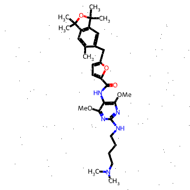 COc1nc(NCCCCN(C)C)nc(OC)c1NC(=O)c1ccc(Cc2cc3c(cc2C)C(C)(C)OC3(C)C)o1